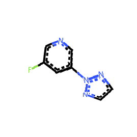 Fc1cncc(-n2nccn2)c1